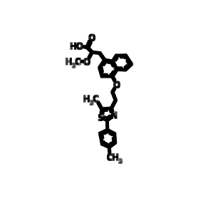 COC(Cc1ccc(OCCc2nc(-c3ccc(C)cc3)sc2C)c2ccccc12)C(=O)O